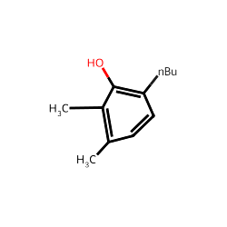 CCCCc1ccc(C)c(C)c1O